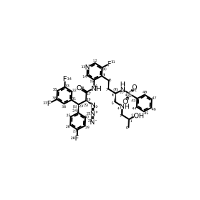 CC(O)CNC[C@@H](CCc1c(F)cncc1NC(=O)[C@@H](N=[N+]=[N-])[C@@H](c1ccc(F)cc1)c1cc(F)cc(F)c1)NS(=O)(=O)c1ccccc1